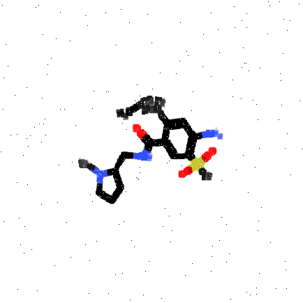 CCN1CCC[C@@H]1CNC(=O)c1cc(S(=O)(=O)CC)c(N)cc1OC.CCOC(C)=O